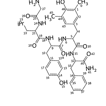 Cc1cc(CC(NC(=O)C(Cc2ccc(O)cc2)NC(=O)C(CC(C)C)NC(=O)CN)C(=O)NC(Cc2ccccc2)C(N)=O)cc(C)c1O